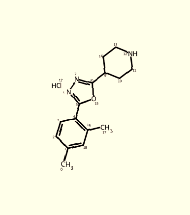 Cc1ccc(-c2nnc(C3CCNCC3)o2)c(C)c1.Cl